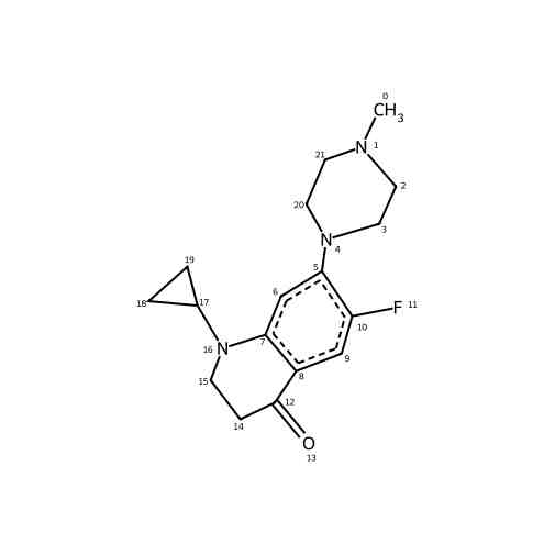 CN1CCN(c2cc3c(cc2F)C(=O)CCN3C2CC2)CC1